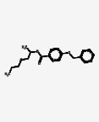 CCCOCC(C)OC(=O)c1ccc(OCc2ccccc2)cc1